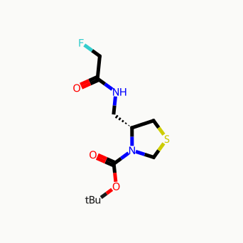 CC(C)(C)OC(=O)N1CSC[C@H]1CNC(=O)CF